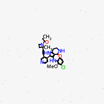 C=CC(=O)N1CCC1(C)C#Cc1cnccc1-c1[nH]c2c(c1Nc1cccc(Cl)c1OC)C(=O)NCC2